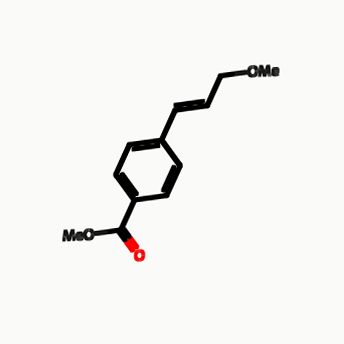 COCC=Cc1ccc(C(=O)OC)cc1